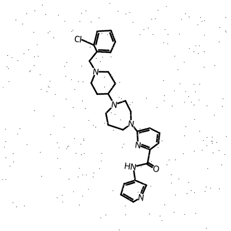 O=C(Nc1cccnc1)c1cccc(N2CCCN(C3CCN(Cc4ccccc4Cl)CC3)CC2)n1